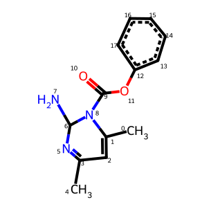 CC1=CC(C)=NC(N)N1C(=O)Oc1ccccc1